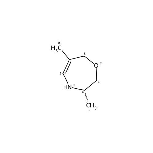 CC1=CN[C@@H](C)COC1